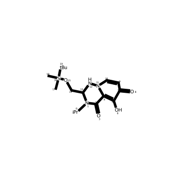 CC(C)N1C(=O)c2c(O)c(=O)ccn2NC1CO[Si](C)(C)C(C)(C)C